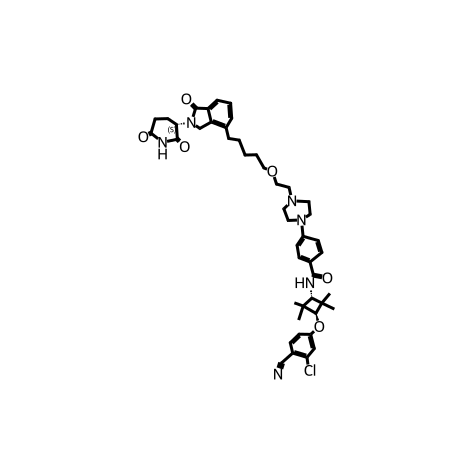 CC1(C)[C@H](NC(=O)c2ccc(N3CCN(CCOCCCCCc4cccc5c4CN([C@H]4CCC(=O)NC4=O)C5=O)CC3)cc2)C(C)(C)[C@H]1Oc1ccc(C#N)c(Cl)c1